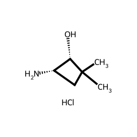 CC1(C)C[C@H](N)[C@@H]1O.Cl